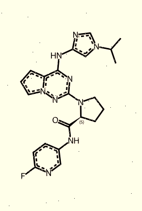 CC(C)n1cnc(Nc2nc(N3CCC[C@H]3C(=O)Nc3ccc(F)nc3)nn3cccc23)c1